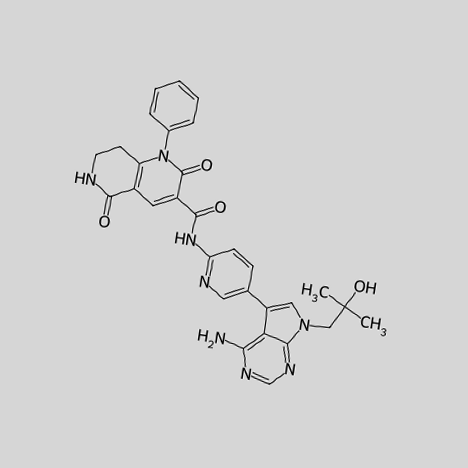 CC(C)(O)Cn1cc(-c2ccc(NC(=O)c3cc4c(n(-c5ccccc5)c3=O)CCNC4=O)nc2)c2c(N)ncnc21